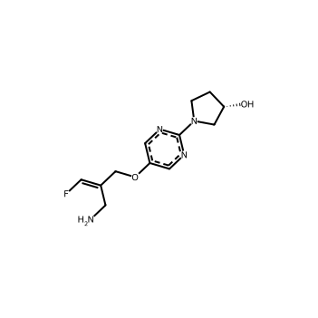 NC/C(=C\F)COc1cnc(N2CC[C@H](O)C2)nc1